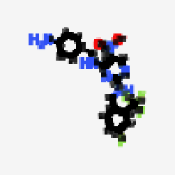 N[C@H]1CC[C@H](CNc2nc(NCc3ccc(F)cc3C(F)(F)F)ncc2[N+](=O)[O-])CC1